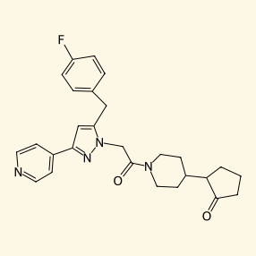 O=C1CCCC1C1CCN(C(=O)Cn2nc(-c3ccncc3)cc2Cc2ccc(F)cc2)CC1